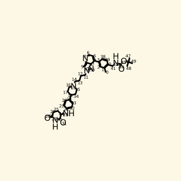 Cc1cc(-c2ccnc3cn(CCCCN4CCC(c5ccc(NC6CCC(=O)NC6=O)cc5)CC4)nc23)ccc1CNC(=O)OC(C)(C)C